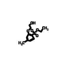 CCOS(=O)(=O)c1ccc(C)cc1OCCO